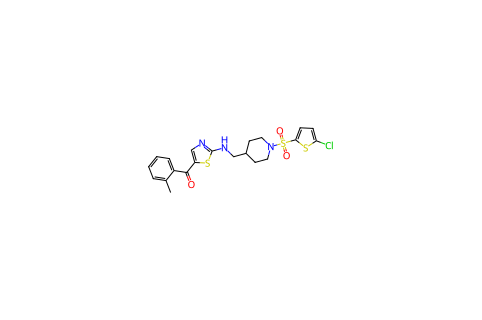 Cc1ccccc1C(=O)c1cnc(NCC2CCN(S(=O)(=O)c3ccc(Cl)s3)CC2)s1